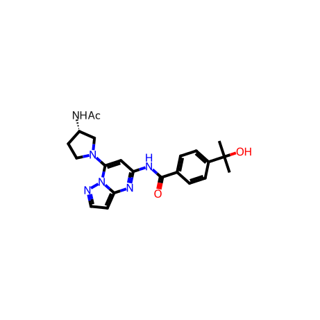 CC(=O)N[C@H]1CCN(c2cc(NC(=O)c3ccc(C(C)(C)O)cc3)nc3ccnn23)C1